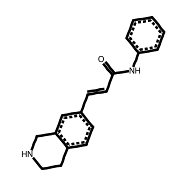 O=C(C=Cc1ccc2c(c1)CNCC2)Nc1ccccc1